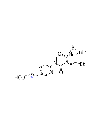 CCCCn1c(CCC)c(CC)cc(C(=O)Nc2ccc(/C=C/C(=O)O)cn2)c1=O